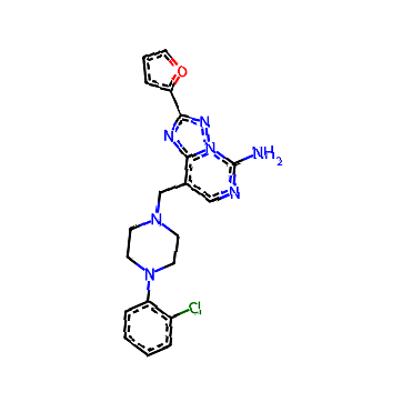 Nc1ncc(CN2CCN(c3ccccc3Cl)CC2)c2nc(-c3ccco3)nn12